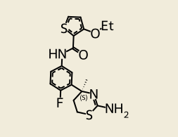 CCOc1ccsc1C(=O)Nc1ccc(F)c([C@]2(C)CCSC(N)=N2)c1